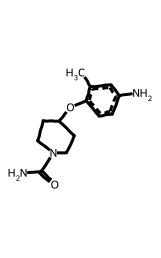 Cc1cc(N)ccc1OC1CCN(C(N)=O)CC1